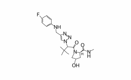 CNC(=O)[C@H]1CC(O)CN1C(=O)C(n1cc(CNc2ccc(F)cc2)nn1)C(C)(C)C